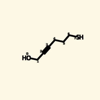 OCC#CCCCS